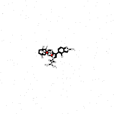 CN(C)S(=O)(=O)n1cc(-c2ccc3nn(C)cc3c2Cl)c2ncc(N3[C@H]4CC[C@@H]3[C@@H](F)[C@@H](NC(=O)O)C4)nc21